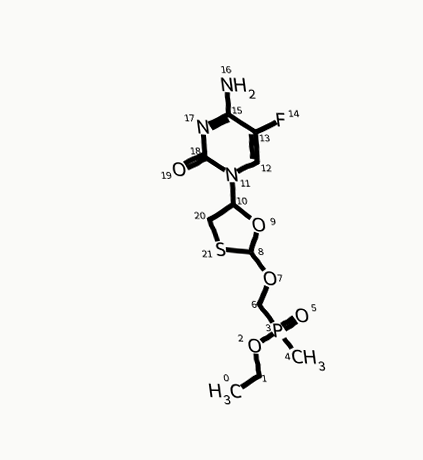 CCOP(C)(=O)COC1OC(n2cc(F)c(N)nc2=O)CS1